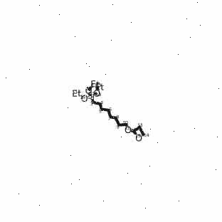 CCO[Si](CCCCCCCCOC1CCO1)(OCC)OCC